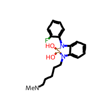 CNCCCCCN1c2ccccc2N(c2ccccc2F)S1(O)O